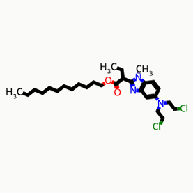 CCCCCCCCCCCCOC(=O)C(CC)c1nc2cc(N(CCCl)CCCl)ccc2n1C